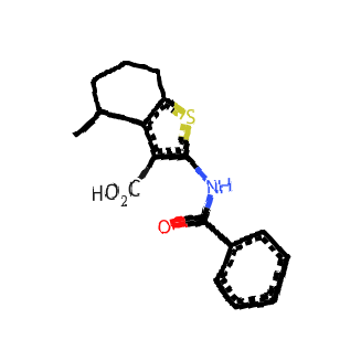 CC1CCCc2sc(NC(=O)c3ccccc3)c(C(=O)O)c21